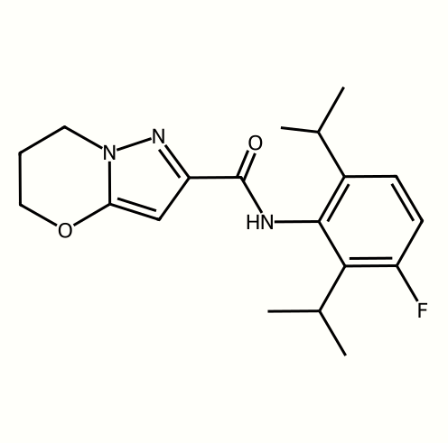 CC(C)c1ccc(F)c(C(C)C)c1NC(=O)c1cc2n(n1)CCCO2